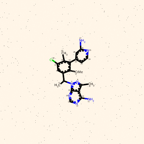 COc1c(C(C)n2nc(C)c3c(N)ncnc32)cc(Cl)c(C)c1-c1ccnc(N)c1